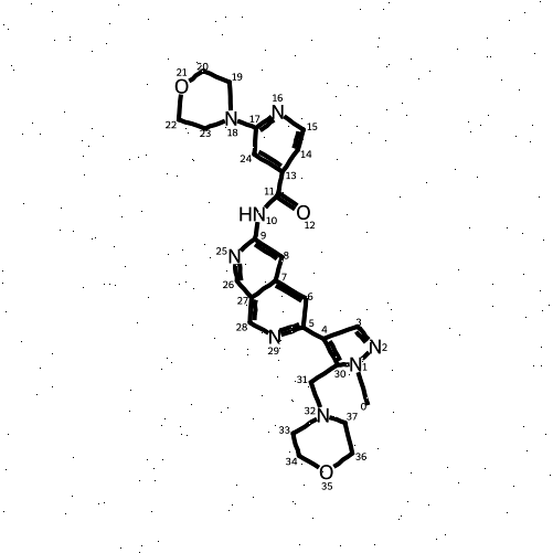 Cn1ncc(-c2cc3cc(NC(=O)c4ccnc(N5CCOCC5)c4)ncc3cn2)c1CN1CCOCC1